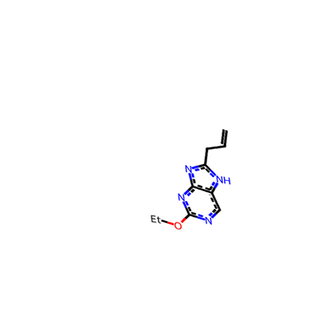 C=CCc1nc2nc(OCC)ncc2[nH]1